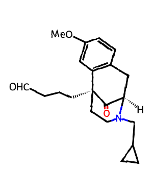 COc1ccc2c(c1)[C@]1(CCCC=O)CCN(CC3CC3)[C@H](C2)C1=O